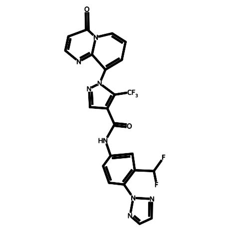 O=C(Nc1ccc(-n2nccn2)c(C(F)F)c1)c1cnn(-c2cccn3c(=O)ccnc23)c1C(F)(F)F